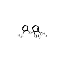 CC1=CC=C[C]1(C)[Zr][C]1=C(C)C=CC1